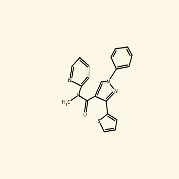 CN(C(=O)c1cn(-c2ccccc2)nc1-c1cccs1)c1ccccn1